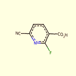 N#Cc1ccc(C(=O)O)c(F)n1